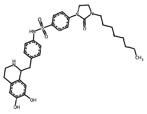 CCCCCCCCN1CCN(c2ccc(S(=O)(=O)Nc3ccc(CC4NCCc5cc(O)c(O)cc54)cc3)cc2)C1=O